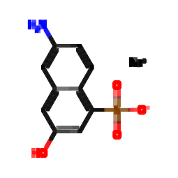 Nc1ccc2c(S(=O)(=O)[O-])cc(O)cc2c1.[Na+]